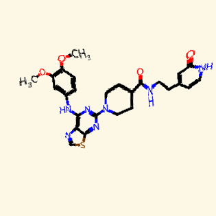 COc1ccc(Nc2nc(N3CCC(C(=O)NCCc4cc[nH]c(=O)c4)CC3)nc3scnc23)cc1OC